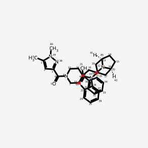 Cc1cc(C(=O)N2CCC(CCN3[C@@H]4CC[C@H]3CC(n3c(C)nc5ccccc53)C4)(c3ccccc3)CC2)nn1C